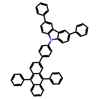 c1ccc(-c2ccc3c(c2)c2cc(-c4ccccc4)ccc2n3-c2ccc(-c3ccc4c(-c5ccccc5)c5ccccc5c(-c5ccccc5)c4c3)cc2)cc1